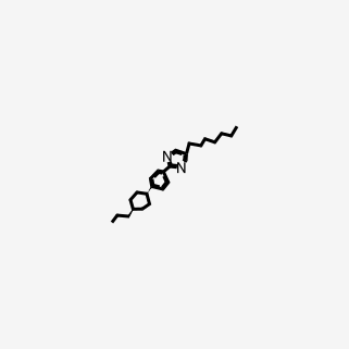 CCCCCCCc1cnc(-c2ccc([C@H]3CC[C@H](CCC)CC3)cc2)nc1